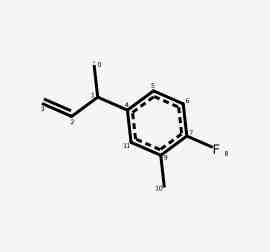 [CH2]C(C=C)c1ccc(F)c(C)c1